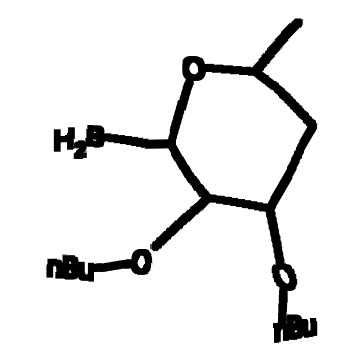 BC1OC(C)CC(OCCCC)C1OCCCC